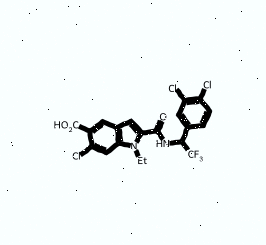 CCn1c(C(=O)NC(c2ccc(Cl)c(Cl)c2)C(F)(F)F)cc2cc(C(=O)O)c(Cl)cc21